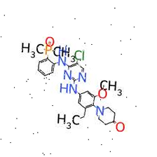 CCc1cc(Nc2ncc(Cl)c(Nc3ccccc3P(C)(C)=O)n2)cc(OC)c1N1CCC(=O)CC1